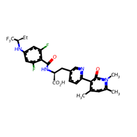 CC[C@@H](Nc1cc(F)c(C(=O)N[C@@H](Cc2ccc(-c3c(C)cc(C)n(C)c3=O)nc2)C(=O)O)c(F)c1)C(F)(F)F